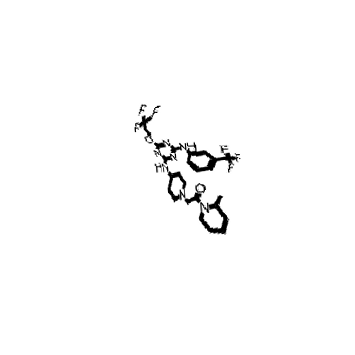 CC1CCCCN1C(=O)CN1CCC(Nc2nc(Nc3cccc(C(F)(F)F)c3)nc(OCC(F)(F)F)n2)CC1